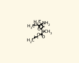 C=CCOC(=O)N(C)CC[C@](C)(N)C(=O)OC